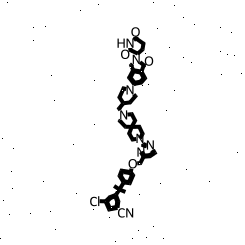 CC(C)(c1ccc(OCc2ccnc(N3CCC4(CCN(CC5CCN(c6ccc7c(c6)CN(C6CCC(=O)NC6=O)C7=O)CC5)CC4)CC3)n2)cc1)c1cc(Cl)cc(C#N)c1